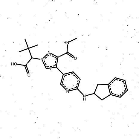 CNC(=O)c1nn(C(C(=O)O)C(C)(C)C)cc1-c1cnc(NC2Cc3ccccc3C2)nc1